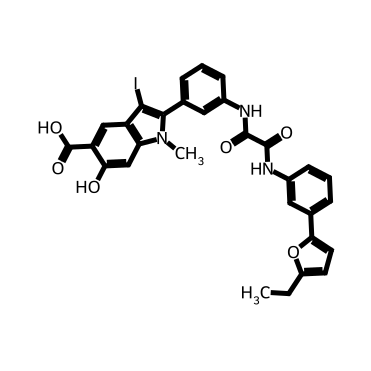 CCc1ccc(-c2cccc(NC(=O)C(=O)Nc3cccc(-c4c(I)c5cc(C(=O)O)c(O)cc5n4C)c3)c2)o1